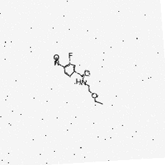 CCOCCNC(=O)c1ccc(N=O)c(F)c1